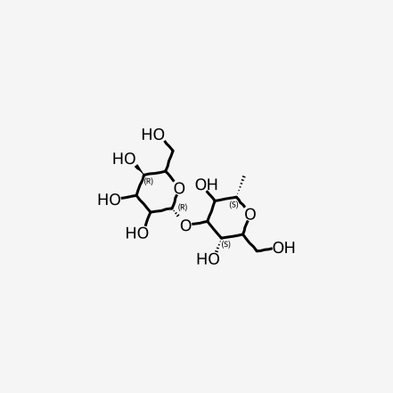 C[C@@H]1OC(CO)[C@H](O)C(O[C@H]2OC(CO)[C@H](O)C(O)C2O)C1O